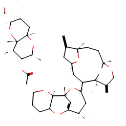 C=C1C[C@@H]2CC([C@@]3(O)C[C@@H](OC)C4=C[C@@H](O3)[C@H]3O[C@@H](CC(=O)O[C@@H]5[C@@H](C)[C@@H]6O[C@H](CO)[C@H](O)C[C@@H]6O[C@H]5C)CC[C@@H]3O4)[C@@H]3C[C@H](CC[C@@H]1O2)O[C@H](C)C3=C